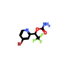 NC(=O)OC(c1cc(Br)ccn1)C(F)(F)F